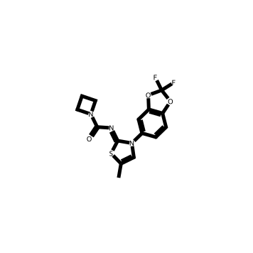 Cc1cn(-c2ccc3c(c2)OC(F)(F)O3)c(=NC(=O)N2CCC2)s1